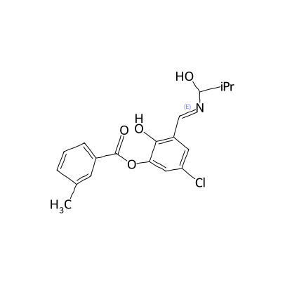 Cc1cccc(C(=O)Oc2cc(Cl)cc(/C=N/C(O)C(C)C)c2O)c1